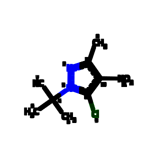 Cc1nn(C(C)(C)C#N)c(Cl)c1[N+](=O)[O-]